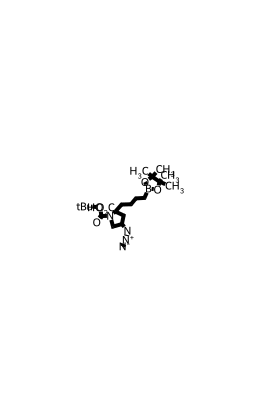 CC(C)(C)OC(=O)N1CC(N=[N+]=[N-])CC1(CCCCB1OC(C)(C)C(C)(C)O1)C(=O)O